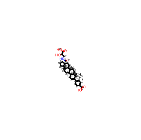 CC1(C)C(c2ccc(C(=O)O)cc2)=CC[C@]2(C)[C@H]3CC[C@@H]4[C@H]5CCC[C@]5(C(=O)NCC(O)C(=O)O)CC[C@@]4(C)[C@]3(C)CC[C@@H]12